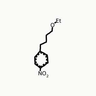 CCOCCCCc1ccc([N+](=O)[O-])cc1